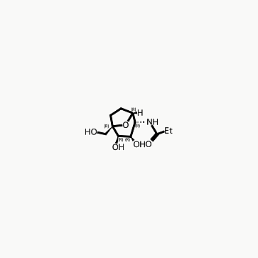 CCC(=O)N[C@@H]1[C@@H](O)[C@@H](O)[C@]2(CO)CC[C@H]1O2